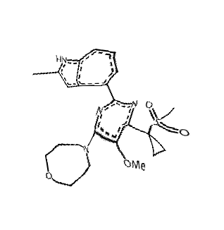 COc1c(N2CCOCC2)nc(-c2cccc3[nH]c(C)cc23)nc1C1(S(C)(=O)=O)CC1